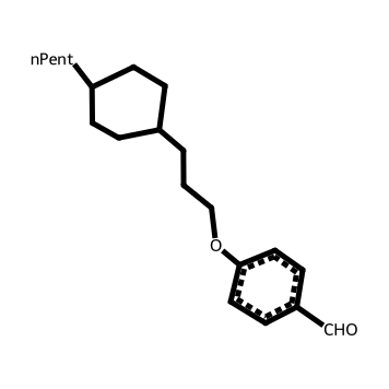 CCCCCC1CCC(CCCOc2ccc(C=O)cc2)CC1